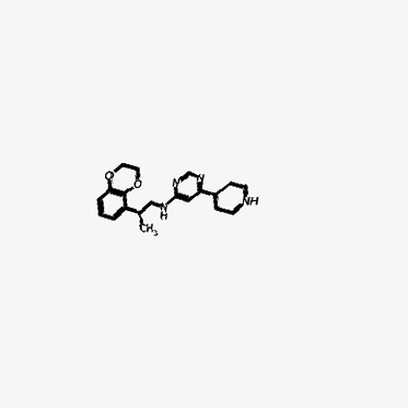 C[C@H](CNc1cc(C2CCNCC2)ncn1)c1cccc2c1OCCO2